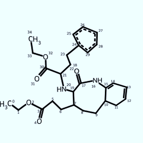 CCOC(=O)CCC1CCC2CC=CC=C2NC(=O)C1NC(CCc1ccccc1)C(=O)OCC